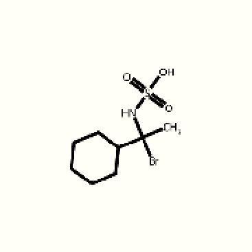 CC(Br)(NS(=O)(=O)O)C1CCCCC1